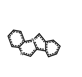 c1ccc2c(c1)cn1c3ccccc3ncc21